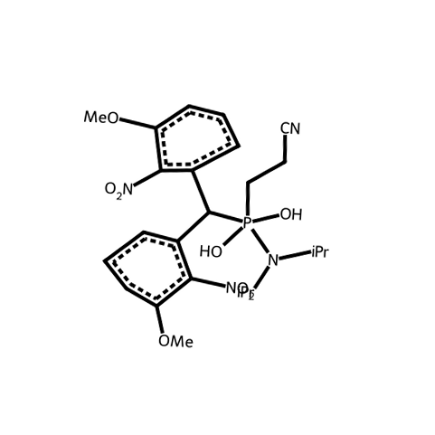 COc1cccc(C(c2cccc(OC)c2[N+](=O)[O-])P(O)(O)(CCC#N)N(C(C)C)C(C)C)c1[N+](=O)[O-]